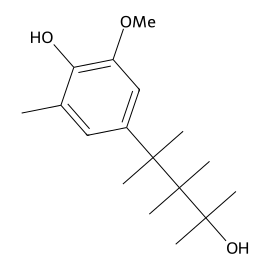 COc1cc(C(C)(C)C(C)(C)C(C)(C)O)cc(C)c1O